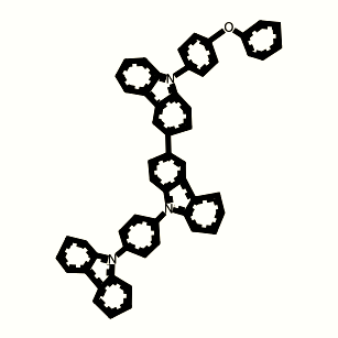 c1ccc(Oc2ccc(-n3c4ccccc4c4cc(-c5ccc6c(c5)c5ccccc5n6-c5ccc(-n6c7ccccc7c7ccccc76)cc5)ccc43)cc2)cc1